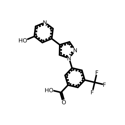 O=C(O)c1cc(-n2cc(-c3cncc(O)c3)cn2)cc(C(F)(F)F)c1